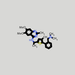 COc1cc2nc(C)nc(NC(C)c3cc(C)c(-c4ccccc4CN(C)C)s3)c2cc1OC